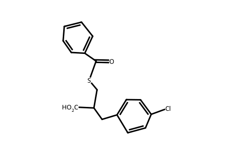 O=C(SCC(Cc1ccc(Cl)cc1)C(=O)O)c1ccccc1